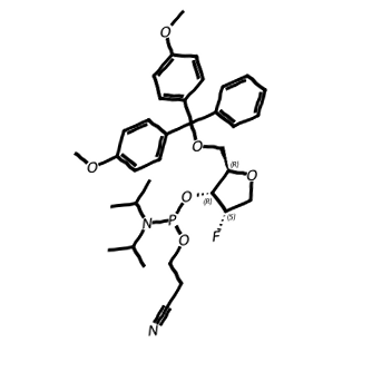 COc1ccc(C(OC[C@H]2OC[C@H](F)[C@@H]2OP(OCCC#N)N(C(C)C)C(C)C)(c2ccccc2)c2ccc(OC)cc2)cc1